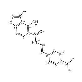 Cc1coc2ccc(C(=O)NN=Cc3ccc(C(C)C)cc3)c(O)c12